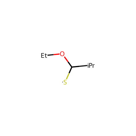 CCOC([S])C(C)C